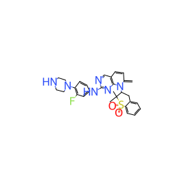 C=C1C=Cc2cnc(Nc3ccc(N4CCNCC4)c(F)c3)nc2N1C1Cc2ccccc2S(=O)(=O)C1(C)C